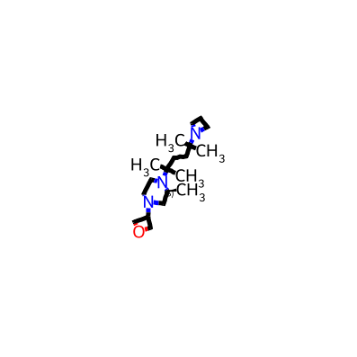 C[C@H]1CN(C2COC2)CCN1C(C)(C)CCC(C)(C)N1CCC1